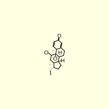 CC[C@H]1CC[C@H]2[C@@H]3CCC4=CC(=O)C=C[C@]4(C)[C@@]3(Cl)C(Cl)C[C@]12C